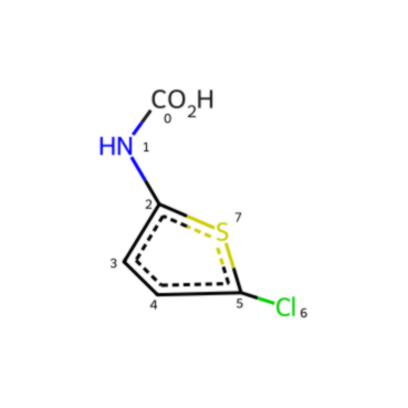 O=C(O)Nc1ccc(Cl)s1